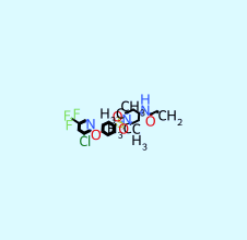 C=CC(=O)NC1CC(C)(C)N(S(=O)(=O)c2ccc(Oc3ncc(C(F)(F)F)cc3Cl)cc2)C(C)(C)C1